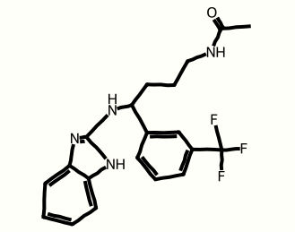 CC(=O)NCCCC(Nc1nc2ccccc2[nH]1)c1cccc(C(F)(F)F)c1